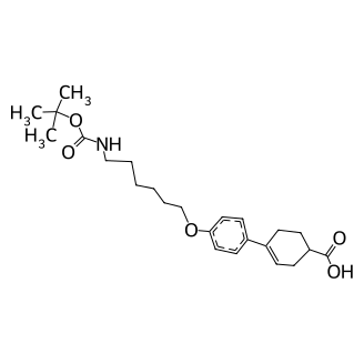 CC(C)(C)OC(=O)NCCCCCCOc1ccc(C2=CCC(C(=O)O)CC2)cc1